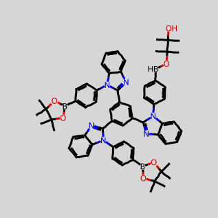 CC(C)(O)C(C)(C)OBc1ccc(-n2c(-c3cc(-c4nc5ccccc5n4-c4ccc(B5OC(C)(C)C(C)(C)O5)cc4)cc(-c4nc5ccccc5n4-c4ccc(B5OC(C)(C)C(C)(C)O5)cc4)c3)nc3ccccc32)cc1